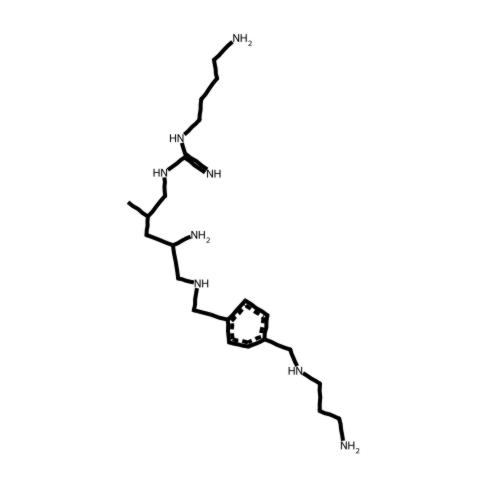 CC(CNC(=N)NCCCCN)CC(N)CNCc1ccc(CNCCCN)cc1